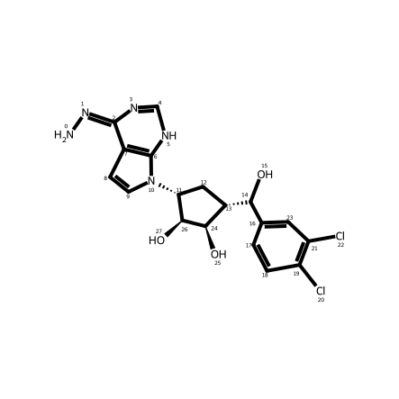 N/N=c1/nc[nH]c2c1ccn2[C@@H]1C[C@H](C(O)c2ccc(Cl)c(Cl)c2)[C@@H](O)[C@H]1O